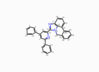 c1ccc(-c2cc(-c3ccccc3)nc(-c3nc4cccc5c4n3Cc3ccccc3-5)c2)cc1